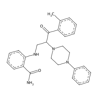 Cc1ccccc1C(=O)C(CNc1ccccc1C(N)=O)N1CCN(c2ccccc2)CC1